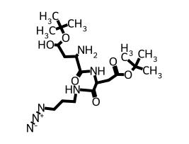 CC(C)(C)OC(=O)CC(NC(=O)C(N)CC(O)OC(C)(C)C)C(=O)NCCCN=[N+]=[N-]